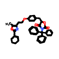 Cc1oc(C2CCCCC2)nc1CCOc1ccc(CC2OC(=O)N(C(c3ccccc3)(c3ccccc3)c3ccccc3)C2=O)cc1